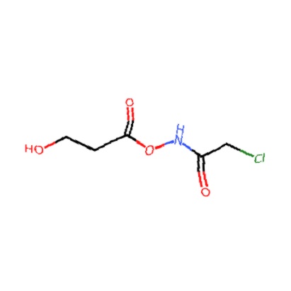 O=C(CCl)NOC(=O)CCO